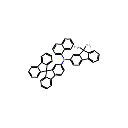 CC1(C)c2ccccc2-c2ccc(N(c3ccc4c(c3)C3(c5ccccc5-c5ccccc53)c3ccccc3-4)c3cccc4ccccc34)cc21